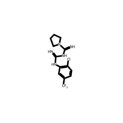 N=C(NC(=N)N1CCCC1)Nc1cc(C(F)(F)F)ccc1Cl